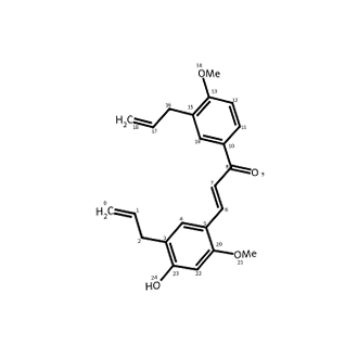 C=CCc1cc(/C=C/C(=O)c2ccc(OC)c(CC=C)c2)c(OC)cc1O